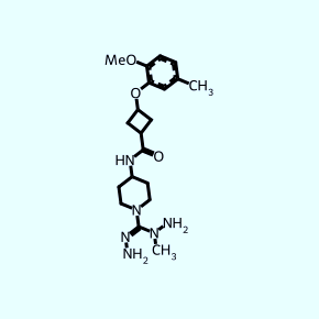 COc1ccc(C)cc1OC1CC(C(=O)NC2CCN(/C(=N/N)N(C)N)CC2)C1